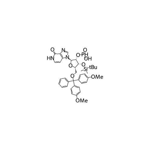 COc1ccc(C(OC[C@H]2O[C@@H](n3cnc4c(=O)[nH]ccc43)[C@H](O[PH](=O)O)[C@@H]2O[Si](C)(C)C(C)(C)C)(c2ccccc2)c2ccc(OC)cc2)cc1